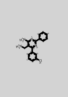 NCc1c(N)nc(-c2ccccc2)nc1-c1cccc(Cl)c1